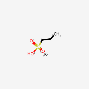 CCCS(=O)(=O)O.[K]